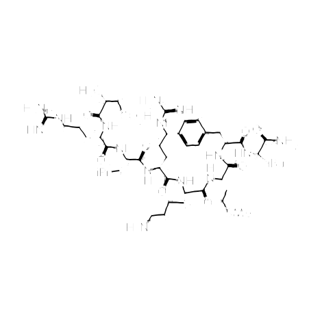 CC[C@H](C)[C@H](NC(=O)[C@H](Cc1ccccc1)NC(=O)[C@H](CCSC)NC(=O)[C@H](CCCCN)NC(=O)[C@H](CCCNC(=N)N)NC(=O)[C@H](CC(C)C)NC(=O)[C@H](CCCNC(=N)N)NC(=O)[C@@H](C)CC(=O)O)C(N)=O